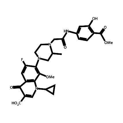 COC(=O)c1ccc(NC(=O)CN2CCN(c3c(F)cc4c(=O)c(C(=O)O)cn(C5CC5)c4c3OC)CC2C)cc1O